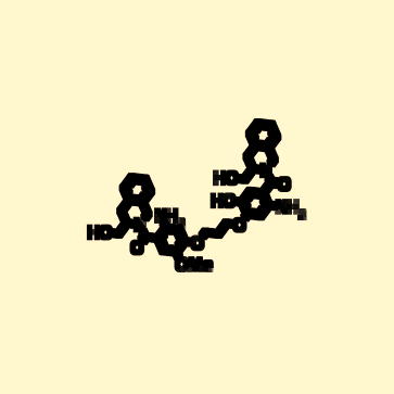 COc1cc(C(=O)N2Cc3ccccc3CC2CO)c(N)cc1OCCCOc1cc(N)c(C(=O)N2Cc3ccccc3CC2CO)cc1O